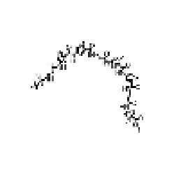 CCOC(=O)c1nc(NC(=O)CCNC(=O)c2cc(NC(=O)c3nc(NC(=O)CCNC(=O)c4cc(NC(=O)c5nc(NC(=O)CCNC(=O)OC(C)(C)C)cn5C)cn4C)cn3C)cn2C)cn1C